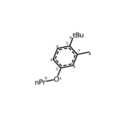 CCCOc1ccc(C(C)(C)C)c(C)c1